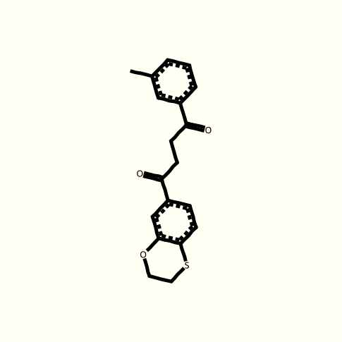 Cc1cccc(C(=O)CCC(=O)c2ccc3c(c2)OCCS3)c1